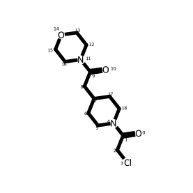 O=C(CCl)N1CCC(CC(=O)N2CCOCC2)CC1